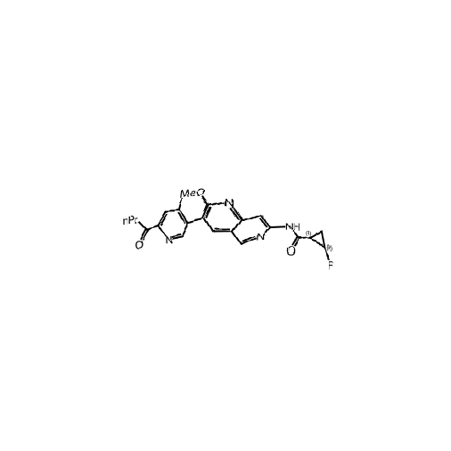 CCCC(=O)c1cc(C)c(-c2cc3cnc(NC(=O)[C@H]4C[C@H]4F)cc3nc2OC)cn1